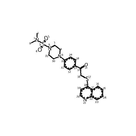 CN(C)S(=O)(=O)N1CCN(c2ccc(C(=O)CSc3ccnc4ccccc34)cc2)CC1